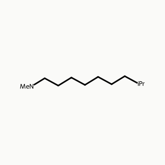 CNCCCCCCCC(C)C